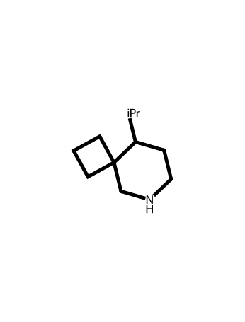 CC(C)C1CCNCC12CCC2